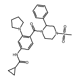 CS(=O)(=O)N1CCN(C(=O)c2ccc(NC(=O)C3CC3)cc2N2CCCC2)C(c2ccccc2)C1